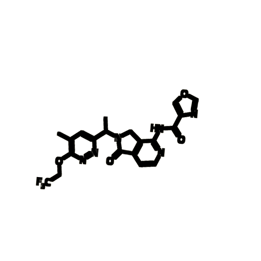 Cc1cc(C(C)N2Cc3c(ccnc3NC(=O)c3cocn3)C2=O)nnc1OCC(F)(F)F